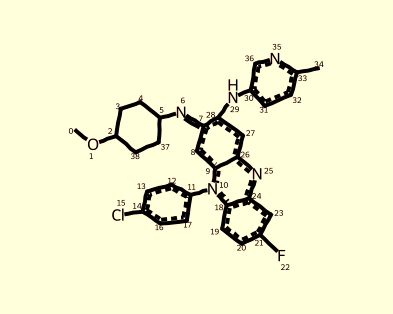 COC1CCC(/N=c2\cc3n(-c4ccc(Cl)cc4)c4ccc(F)cc4nc-3cc2Nc2ccc(C)nc2)CC1